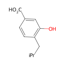 CC(C)Cc1ccc(C(=O)O)cc1O